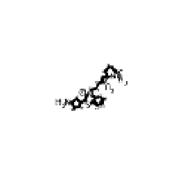 C[C@H]1CCC[C@@](C)(CCCCCN2C(=O)C(C3CCC(N)C3)Sc3ccccc32)N1